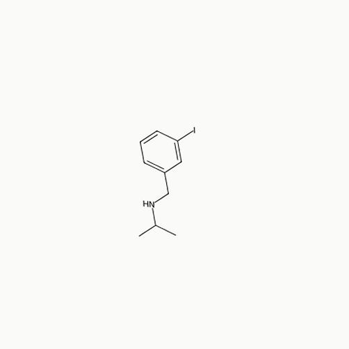 CC(C)NCc1cccc(I)c1